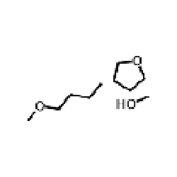 C1CCOC1.CCCCOC.CO